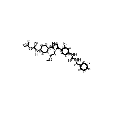 COCCn1c(-c2ccc(NC(=O)NCc3ccccc3)cc2F)cnc1C1CCC(NC(=O)OC(C)C)CC1